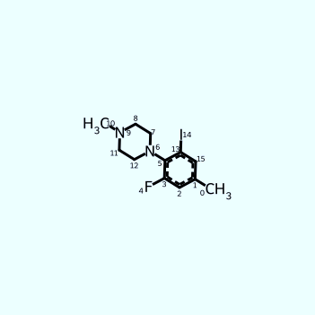 Cc1cc(F)c(N2CCN(C)CC2)c(I)c1